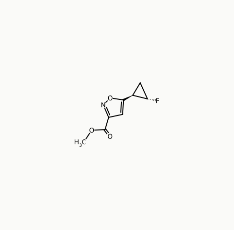 COC(=O)c1cc([C@H]2C[C@@H]2F)on1